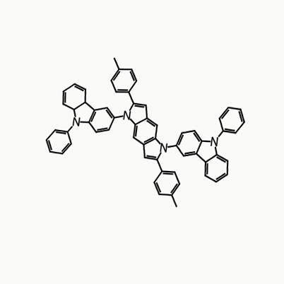 Cc1ccc(-c2cc3cc4c(cc(-c5ccc(C)cc5)n4-c4ccc5c(c4)c4ccccc4n5-c4ccccc4)cc3n2-c2ccc3c(c2)C2C=CC=CC2N3c2ccccc2)cc1